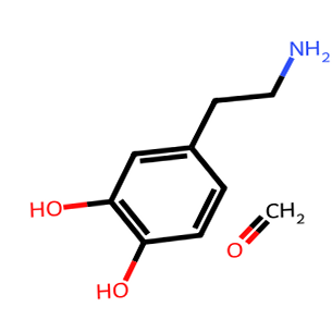 C=O.NCCc1ccc(O)c(O)c1